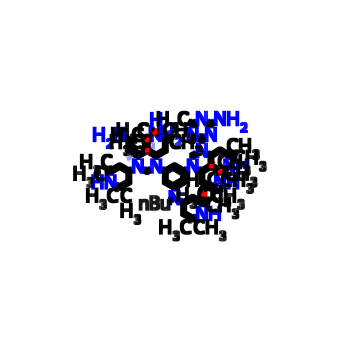 CCCCN(C1=CC(N(CN(c2nc(C)nc(N)n2)C2CC(C)(C)NC(C)(C)C2)C2CC(C)(C)NC(C)(C)C2)=CC(N(CN(C(/C=C(\C)N)=C/CN)C2CC(C)(C)NC(C)(C)C2)C2CC(C)(C)NC(C)(C)C2)C1)C1CC(C)(C)NC(C)(C)C1